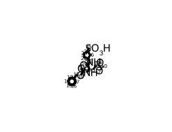 CS(=O)(=O)CC[C@H](NC(=O)OCc1ccccc1)C(=O)NC1CCC(S(=O)(=O)O)C1